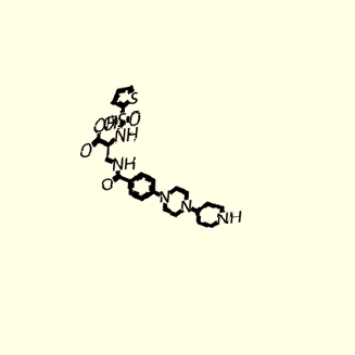 O=C(NC[C@H](NS(=O)(=O)c1cccs1)C(=O)O)c1ccc(N2CCN(C3CCNCC3)CC2)cc1